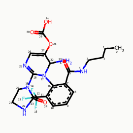 CCCCNC(=O)c1cccc(C(F)(F)F)c1N1C(N2CCNC2=O)=NC=C(OC(=O)O)C1N